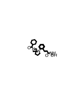 O=C(/C=C/c1ccccc1N1CCCC12CN(C(=O)C1CCCCC1)C2)NO